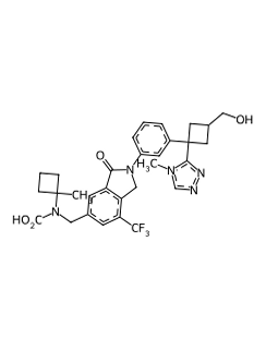 Cn1cnnc1C1(c2cccc(N3Cc4c(cc(CN(C(=O)O)C5(C)CCC5)cc4C(F)(F)F)C3=O)c2)CC(CO)C1